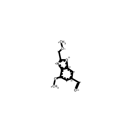 COCc1nc2c(OC)cc(C=O)cc2o1